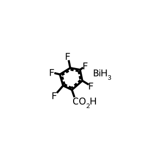 O=C(O)c1c(F)c(F)c(F)c(F)c1F.[BiH3]